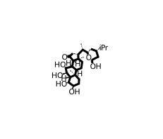 CC(C)[C@@H]1CC(O)O[C@H]([C@@H](C)[C@H]2CC(=O)[C@@H]3[C@@H]4[C@@H](O)[C@H](O)[C@H]5[C@@H](O)[C@H](O)CC[C@]5(C)[C@H]4CC[C@]23C)C1